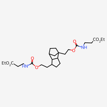 CCOC(=O)CCNC(=O)OCCC1CCC2C1C1CCC2(CCOC(=O)NCCC(=O)OCC)C1